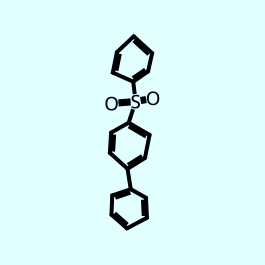 O=S(=O)(c1ccccc1)c1ccc(-c2ccccc2)cc1